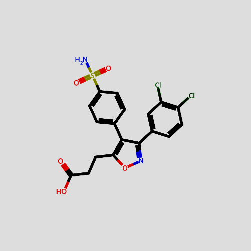 NS(=O)(=O)c1ccc(-c2c(-c3ccc(Cl)c(Cl)c3)noc2CCC(=O)O)cc1